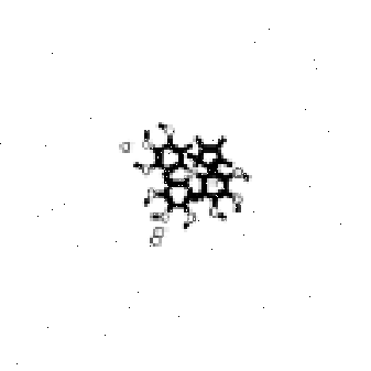 COc1c(C)c([Si](c2c(C)c(OC)c(OC)c(OC)c2C)(c2c(C)c(OC)c(OC)c(OC)c2C)C2(C)C(C)=C(C)C(C)=[C]2[Ti+3])c(C)c(OC)c1OC.[Cl-].[Cl-].[Cl-]